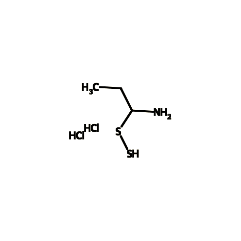 CCC(N)SS.Cl.Cl